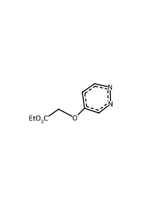 CCOC(=O)COc1ccnnc1